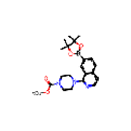 CC(C)(C)OC(=O)N1CCN(c2nccc3ccc(B4OC(C)(C)C(C)(C)O4)cc23)CC1